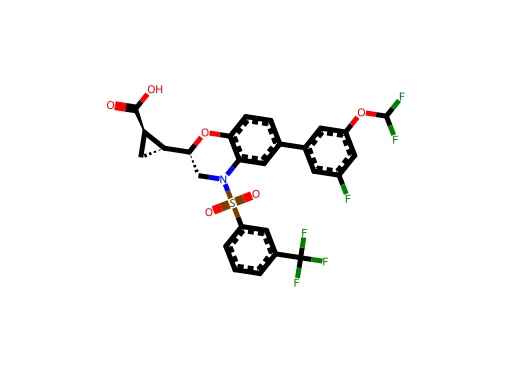 O=C(O)[C@@H]1C[C@H]1[C@H]1CN(S(=O)(=O)c2cccc(C(F)(F)F)c2)c2cc(-c3cc(F)cc(OC(F)F)c3)ccc2O1